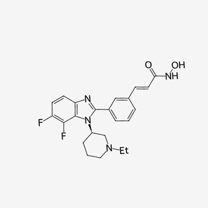 CCN1CCC[C@@H](n2c(-c3cccc(C=CC(=O)NO)c3)nc3ccc(F)c(F)c32)C1